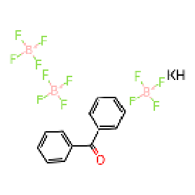 F[B-](F)(F)F.F[B-](F)(F)F.F[B-](F)(F)F.O=C(c1ccccc1)c1ccccc1.[KH]